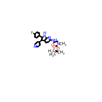 CN(CC(=O)Nc1ccc2c(-c3ccncc3)c(-c3ccc(F)cc3)[nH]c2n1)C(=O)OC(C)(C)C